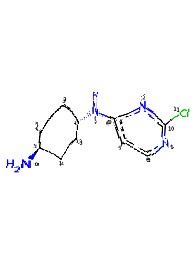 N[C@H]1CC[C@H](Nc2ccnc(Cl)n2)CC1